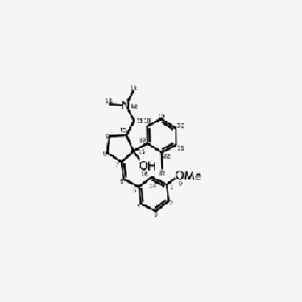 COc1cccc(C=C2CCC(CN(C)C)C2(O)c2ccccc2C)c1